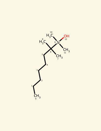 CCCCCCC(C)(C)[Si](C)(C)O